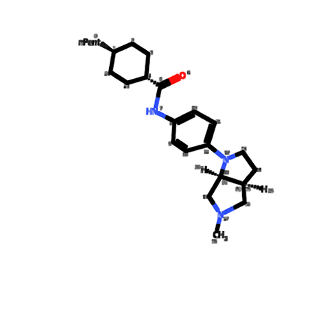 CCCCC[C@H]1CC[C@H](C(=O)Nc2ccc(N3CC[C@H]4CN(C)C[C@H]43)cc2)CC1